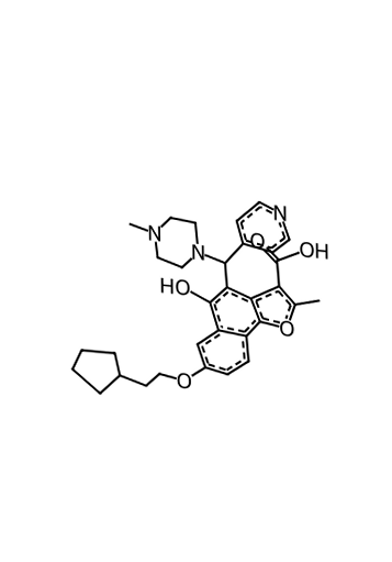 Cc1oc2c(c1C(=O)O)c(C(c1ccncc1)N1CCN(C)CC1)c(O)c1cc(OCCC3CCCC3)ccc12